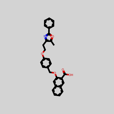 Cc1oc(-c2ccccc2)nc1CCOc1ccc(COc2cc3ccccc3cc2C(=O)O)cc1